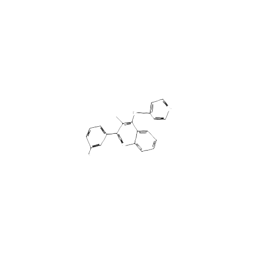 Fc1c(-c2cccc(Cl)c2)nc2ccccc2c1Nc1ccncc1